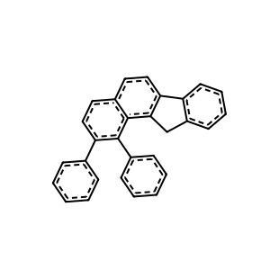 c1ccc(-c2ccc3ccc4c(c3c2-c2ccccc2)Cc2ccccc2-4)cc1